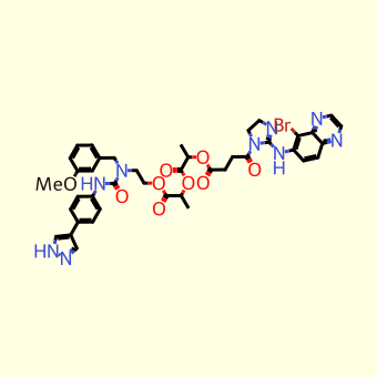 COc1cccc(CN(CCOC(=O)C(C)OC(=O)C(C)OC(=O)CCC(=O)N2CCN=C2Nc2ccc3nccnc3c2Br)C(=O)Nc2ccc(-c3cn[nH]c3)cc2)c1